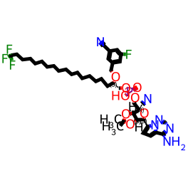 CC1(C)O[C@H]2[C@H](c3ccc4c(N)ncnn34)O[C@](C#N)(COP(=O)(O)OC[C@H](CCCCCCCCCCCCCCCCC(F)(F)F)OCc3cc(F)cc(C#N)c3)[C@H]2O1